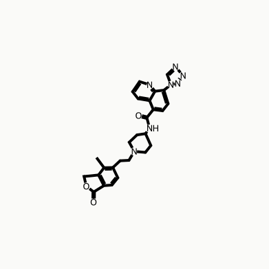 Cc1c(CCN2CCC(NC(=O)c3ccc(-n4cnnn4)c4ncccc34)CC2)ccc2c1COC2=O